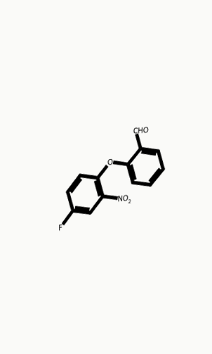 O=Cc1ccccc1Oc1ccc(F)cc1[N+](=O)[O-]